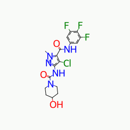 Cn1nc(NC(=O)N2CCC(O)CC2)c(Cl)c1C(=O)Nc1cc(F)c(F)c(F)c1